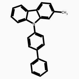 Cc1ccc2c3ccccc3n(-c3ccc(-c4ccccc4)cc3)c2c1